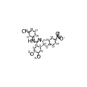 COc1cc2c(cc1OC)C(Cc1ccc([N+](=O)[O-])cc1)CN=C2Nc1cccc(Cl)c1